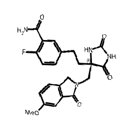 COc1ccc2c(c1)C(=O)N(C[C@@]1(CCc3ccc(F)c(C(N)=O)c3)NC(=O)NC1=O)C2